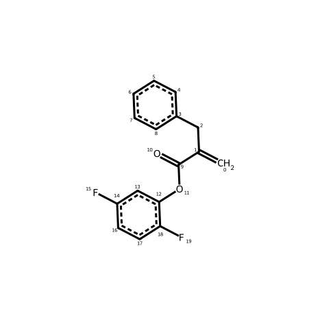 C=C(Cc1ccccc1)C(=O)Oc1cc(F)ccc1F